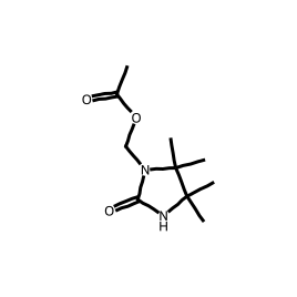 CC(=O)OCN1C(=O)NC(C)(C)C1(C)C